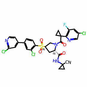 N#CC1(NC(=O)[C@@H]2C[C@@H](S(=O)(=O)c3ccc(-c4ccnc(Cl)c4)cc3Cl)CN2C(=O)C2(c3ncc(Cl)cc3F)CC2)CC1